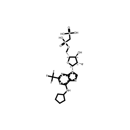 O=P(O)(O)CP(=O)(O)OC[C@H]1O[C@@H](n2cnc3c(NC4CCCC4)nc(C(F)(F)F)nc32)[C@@H](F)[C@@H]1O